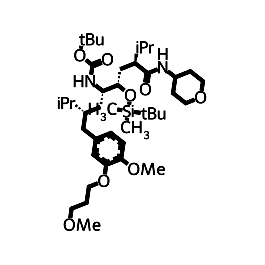 COCCCOc1cc(C[C@@H](C[C@H](NC(=O)OC(C)(C)C)[C@H](C[C@H](C(=O)NC2CCOCC2)C(C)C)O[Si](C)(C)C(C)(C)C)C(C)C)ccc1OC